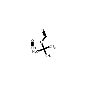 CC(C)(C)O[C]=O.[CH]=O